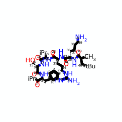 CC(C)C(=O)[C@H](Cc1ccccc1)NC(=O)[C@H](CO)NC(=O)C(NC(=O)[C@H](CCCNC(=N)N)NC(=O)[C@H](CCCCN)NC(=O)C(C)CC(C)(C)C)C(C)C